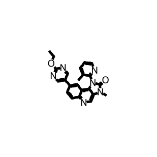 CCOc1ncc(-c2ccc3ncc4c(c3c2)n(-c2ncccc2C)c(=O)n4C)cn1